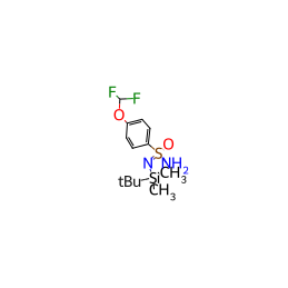 CC(C)(C)[Si](C)(C)N=S(N)(=O)c1ccc(OC(F)F)cc1